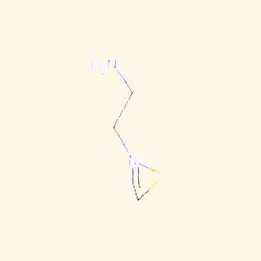 NCC[N+]1=CS1